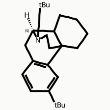 CC(C)(C)c1ccc2c(c1)C13CCCCC1[C@H](C2)N(C(C)(C)C)CC3